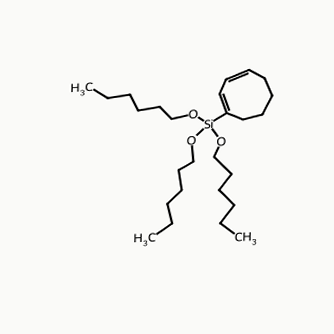 CCCCCCO[Si](OCCCCCC)(OCCCCCC)C1=CC=CCCCC1